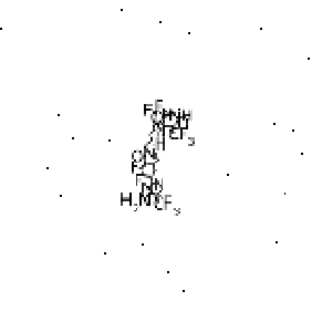 Nc1nc(-c2cc3ccn(CCCC(COC(F)F)Nc4cn[nH]c(=O)c4C(F)(F)F)c(=O)c3c(F)c2F)ncc1C(F)(F)F